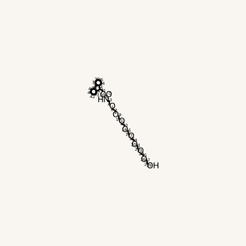 O=C(NCCOCCOCCOCCOCCOCCOCCOCCOCCO)OCC1c2ccccc2-c2ccccc21